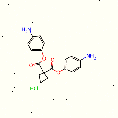 Cl.Nc1ccc(OC(=O)C2(C(=O)Oc3ccc(N)cc3)CCC2)cc1